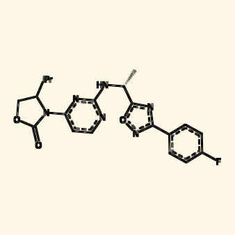 CC(C)C1COC(=O)N1c1ccnc(N[C@H](C)c2nc(-c3ccc(F)cc3)no2)n1